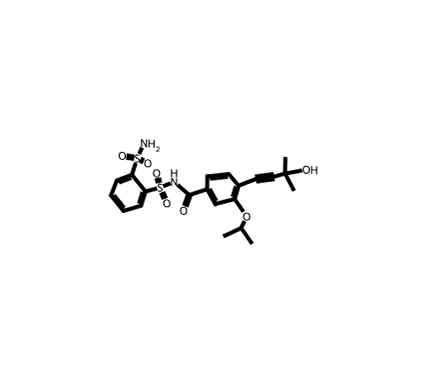 CC(C)Oc1cc(C(=O)NS(=O)(=O)c2ccccc2S(N)(=O)=O)ccc1C#CC(C)(C)O